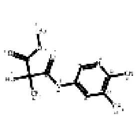 CCCCOC(=O)C(O)(C(=O)Nc1cnc(C#N)c(C(F)(F)F)c1)C(F)(F)F